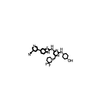 N#Cc1cncc(-c2ccc3nc(Nc4cc(CN5CCCC(F)(F)C5)nc(N[C@H]5CC[C@H](O)CC5)n4)sc3c2)c1